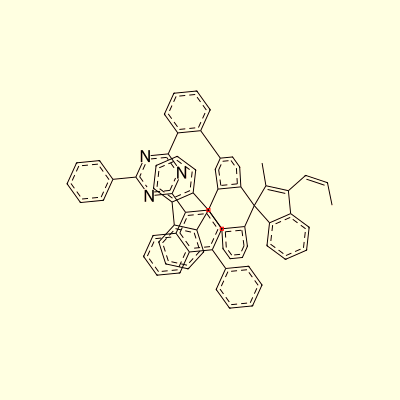 C/C=C\C1=C(C)C2(c3ccccc31)c1ccccc1C1(c3ccccc3-c3ccccc31)c1cc(-c3ccccc3-c3nc(-c4ccccc4)nc(-c4ccc(-c5ccccc5)c5ccccc45)n3)ccc12